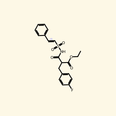 CCOC(=O)C(Cc1ccc(F)cc1)C(=O)NS(=O)(=O)/C=C/c1ccccc1